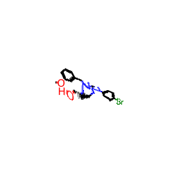 COc1cccc(CN2CN(c3ccc(Br)cc3)C[C@@H]2CO)c1